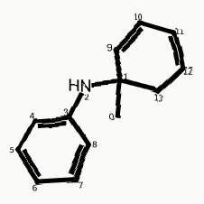 CC1(Nc2ccccc2)C=CC=CC1